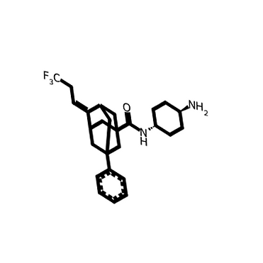 N[C@H]1CC[C@H](NC(=O)C23CC4CC(c5ccccc5)(CC(C2)C4=CCC(F)(F)F)C3)CC1